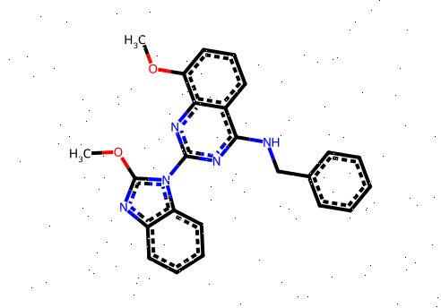 COc1cccc2c(NCc3ccccc3)nc(-n3c(OC)nc4ccccc43)nc12